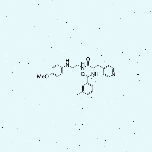 COc1ccc(NCCNC(=O)C(Cc2ccncc2)NC(=O)c2cccc(C)c2)cc1